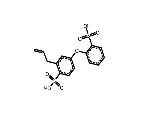 C=CCc1cc(Oc2ccccc2S(=O)(=O)O)ccc1S(=O)(=O)O